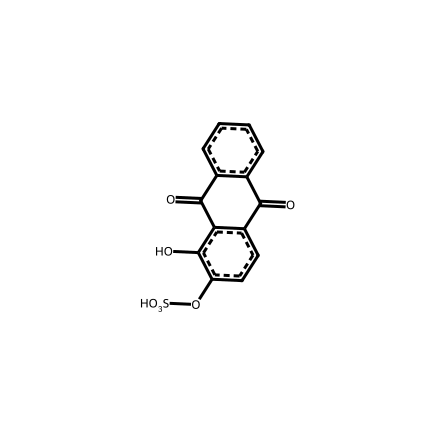 O=C1c2ccccc2C(=O)c2c1ccc(OS(=O)(=O)O)c2O